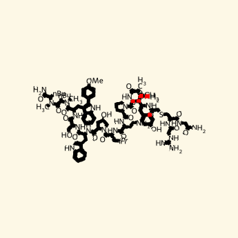 CCCCC(C(=O)N(C)C(CCCC)C(N)=O)N(C)C(=O)C(Cc1c(-c2ccc(OC)cc2)[nH]c2ccccc12)NC(=O)C(CO)NC(=O)C(Cc1c[nH]c2ccccc12)NC(=O)C1C[C@@H](O)CN1C(=O)C(CC(C)C)NC(=O)C(CCN)NC(=O)C1CCCN1C(=O)C(CC(N)=O)NC(=O)C(C)N(C)C(=O)C(Cc1ccc(O)cc1)NC(=O)CSCC(NC(=O)CNC(=N)N)C(=O)NCC(N)=O